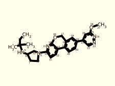 CCC(C)(C)NC1CCN(c2ccc3c(n2)OCc2cc(-c4cnnc(OC)c4)ccc2-3)C1